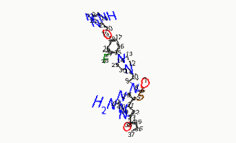 Nc1nc2c(sc(=O)n2CCN2CCN(c3ccc(OCc4nnc[nH]4)cc3F)CC2)c2cc(-c3ccco3)nn12